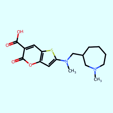 CN1CCCCC(CN(C)c2cc3oc(=O)c(C(=O)O)cc3s2)C1